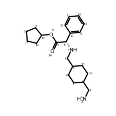 NCC1CCC(CN[C@H](C(=O)OC2CCCC2)c2ccccc2)CC1